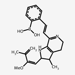 C=C(C)C(=CC1NC2=C(CCN=C2/C=C/c2ccccc2B(O)O)C1C)OC